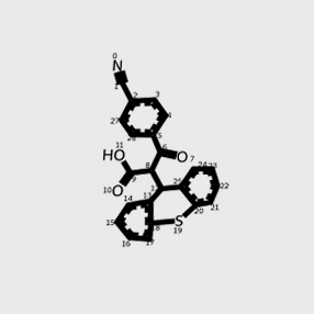 N#Cc1ccc(C(=O)C(C(=O)O)C2c3ccccc3Sc3ccccc32)cc1